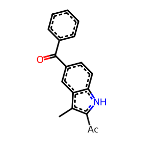 CC(=O)c1[nH]c2ccc(C(=O)c3ccccc3)cc2c1C